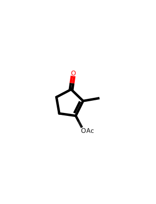 CC(=O)OC1=C(C)C(=O)CC1